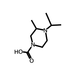 CC(C)N1CCN(C(=O)O)CC1C